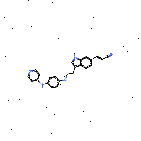 N#CC=Cc1ccc2c(CCNc3ccc(Nc4ccncc4)cc3)c[nH]c2c1